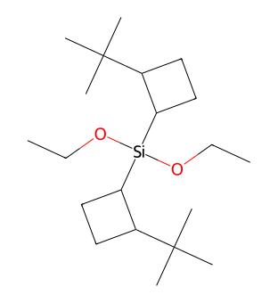 CCO[Si](OCC)(C1CCC1C(C)(C)C)C1CCC1C(C)(C)C